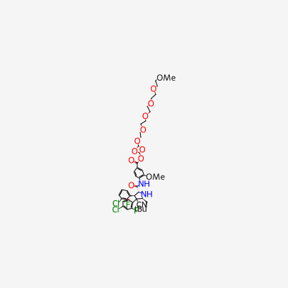 COCCOCCOCCOCCOCCOC1OC(OC(=O)c2ccc(NC(=O)[C@@H]3N[C@@H](CC(C)(C)C)[C@](C#N)(c4ccc(Cl)cc4F)[C@H]3c3cccc(Cl)c3F)c(OC)c2)O1